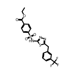 CCOC(=O)c1ccc(S(=O)(=O)Nc2nnc(Cc3cccc(C(F)(F)F)c3)s2)cc1